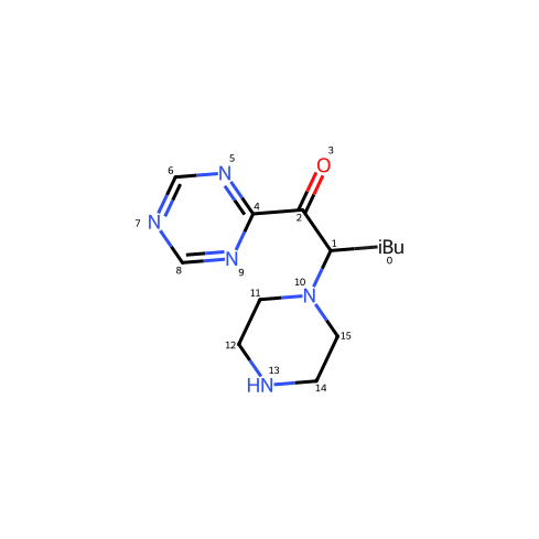 CCC(C)C(C(=O)c1ncncn1)N1CCNCC1